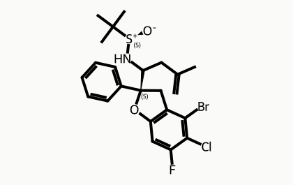 C=C(C)CC(N[S@+]([O-])C(C)(C)C)[C@@]1(c2ccccc2)Cc2c(cc(F)c(Cl)c2Br)O1